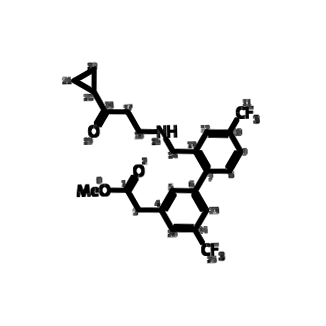 COC(=O)Cc1cc(-c2ccc(C(F)(F)F)cc2CNCCC(=O)C2CC2)cc(C(F)(F)F)c1